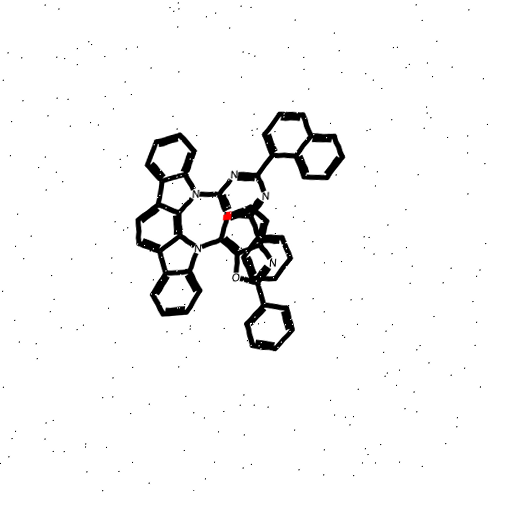 C1=CC(c2nc(-c3cccc4ccccc34)nc(-n3c4ccccc4c4ccc5c6ccccc6n(-c6cccc7nc(-c8ccccc8)oc67)c5c43)n2)=CCC1